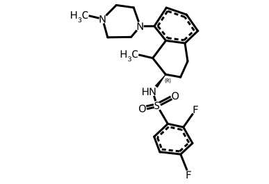 CC1c2c(cccc2N2CCN(C)CC2)CC[C@H]1NS(=O)(=O)c1ccc(F)cc1F